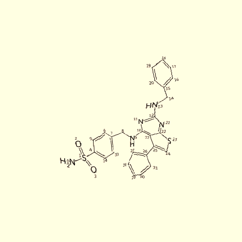 NS(=O)(=O)c1ccc(CNc2nc(NCc3ccccc3)nc3scc(-c4ccccc4)c23)cc1